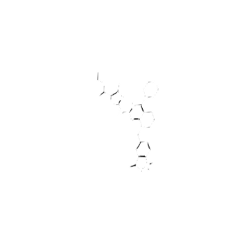 CCOC(=O)c1sc(Nc2nc(N3CCOCC3)c3c(n2)N(Cc2ccc4c(c2)C(=O)NS4(=O)=O)CCC3)nc1C